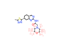 BC1(B)OC(B)(B)C(B)(B)N(CC(=O)Nc2ncc3ccc(-c4nnc(C)s4)cc3n2)C1(B)B